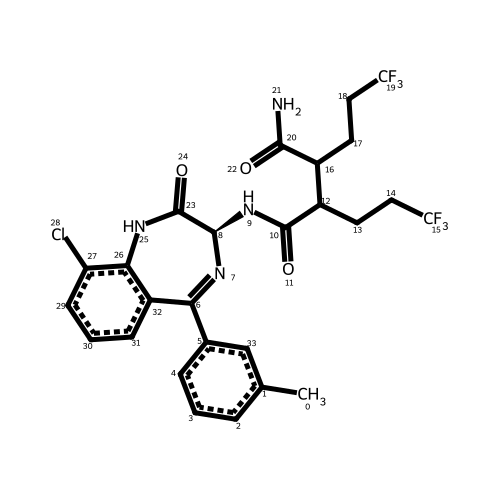 Cc1cccc(C2=N[C@H](NC(=O)C(CCC(F)(F)F)C(CCC(F)(F)F)C(N)=O)C(=O)Nc3c(Cl)cccc32)c1